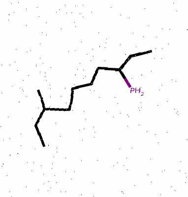 CCC(C)CCCCC(P)CC